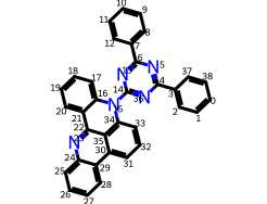 c1ccc(-c2nc(-c3ccccc3)nc(N3c4ccccc4-c4nc5ccccc5c5cccc3c45)n2)cc1